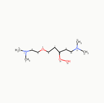 CN(C)CCOCCC(CCN(C)C)OO